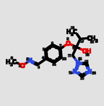 CON=Cc1ccc(OC(O)(Cn2cncn2)C(C)C)cc1